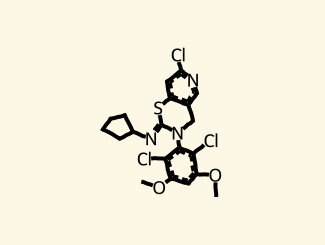 COc1cc(OC)c(Cl)c(N2Cc3cnc(Cl)cc3S/C2=N\C2CCCC2)c1Cl